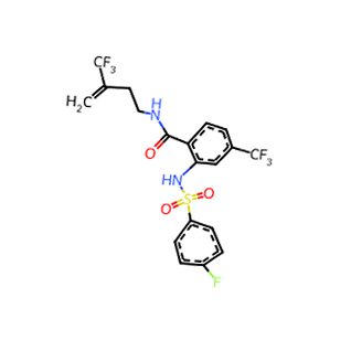 C=C(CCNC(=O)c1ccc(C(F)(F)F)cc1NS(=O)(=O)c1ccc(F)cc1)C(F)(F)F